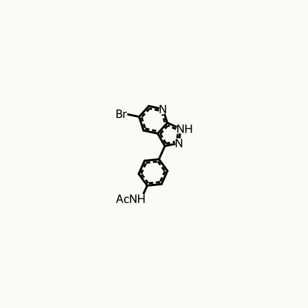 CC(=O)Nc1ccc(-c2n[nH]c3ncc(Br)cc23)cc1